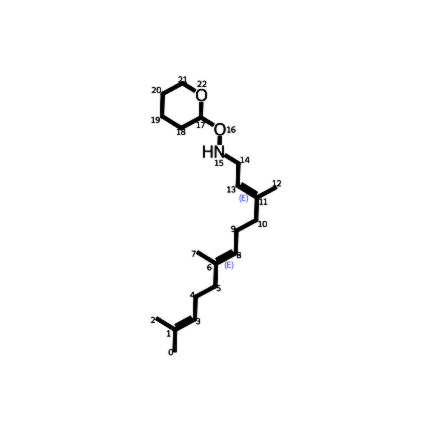 CC(C)=CCC/C(C)=C/CC/C(C)=C/CNOC1CCCCO1